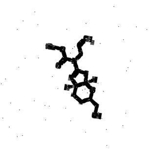 C=CCN(C(=O)OC(C)(C)C)C1=N[C@@H]2[C][C][C@H](CO)O[C@@H]2S1